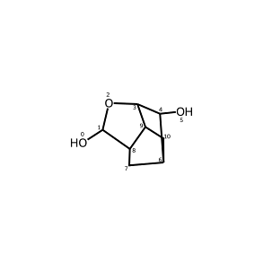 OC1OC2C(O)C3CC1C2C3